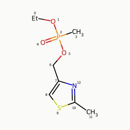 CCOP(C)(=O)OCc1csc(C)n1